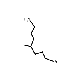 CC(C)CCCC(C)CCCN